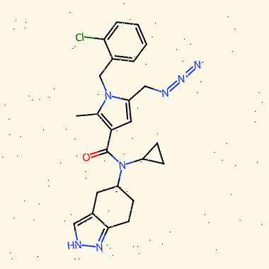 Cc1c(C(=O)N(C2CC2)C2CCc3n[nH]cc3C2)cc(CN=[N+]=[N-])n1Cc1ccccc1Cl